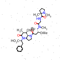 CC[C@H](C)[C@@H](C(CC(=O)N1CCC[C@H]1C(OC)[C@@H](C)C(=O)N[C@@H](Cc1ccccc1)C(=O)O)OC)N(C)C(=O)CNC(=O)[C@]1(C)CCCN1C